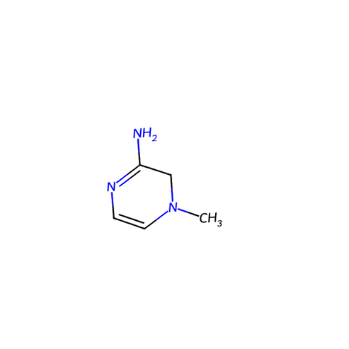 CN1C=CN=C(N)C1